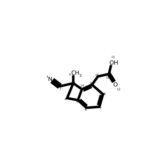 CC1(C#N)Cc2cccc(CC(=O)O)c21